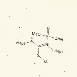 CCCCCCCNC(SCC)=[N+](CCCCCCC)P(=O)(OC)OC